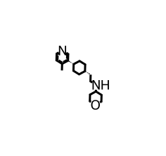 Cc1ccncc1[C@H]1CC[C@@H](CCNC2CCOCC2)CC1